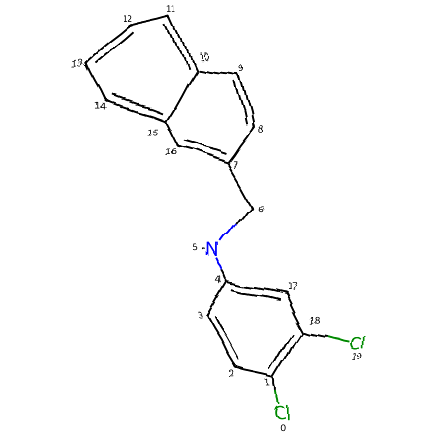 Clc1ccc([N]Cc2ccc3ccccc3c2)cc1Cl